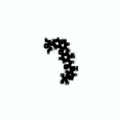 CCP(=O)(CC)c1ccc2nccc(Oc3ccc(CC(=O)Nc4cnn(C(C)(C)C)c4)c(F)c3C)c2c1